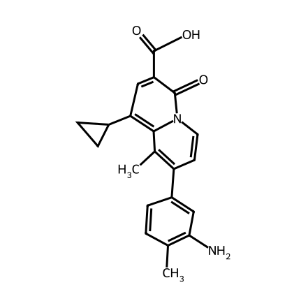 Cc1ccc(-c2ccn3c(=O)c(C(=O)O)cc(C4CC4)c3c2C)cc1N